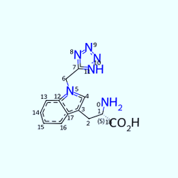 N[C@@H](Cc1cn(Cc2nnn[nH]2)c2ccccc12)C(=O)O